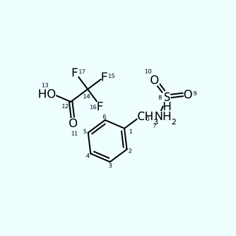 Cc1ccccc1.N[SH](=O)=O.O=C(O)C(F)(F)F